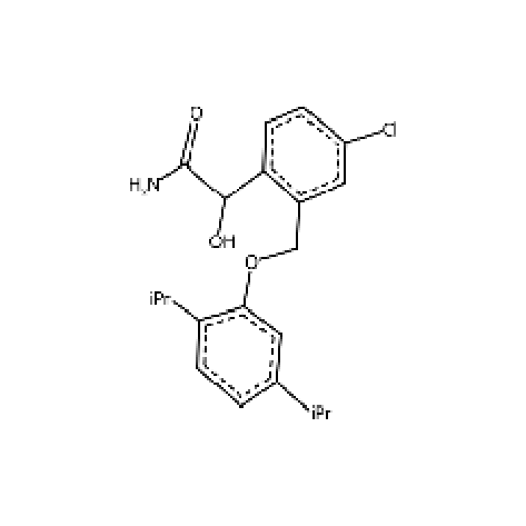 CC(C)c1ccc(C(C)C)c(OCc2cc(Cl)ccc2C(O)C(N)=O)c1